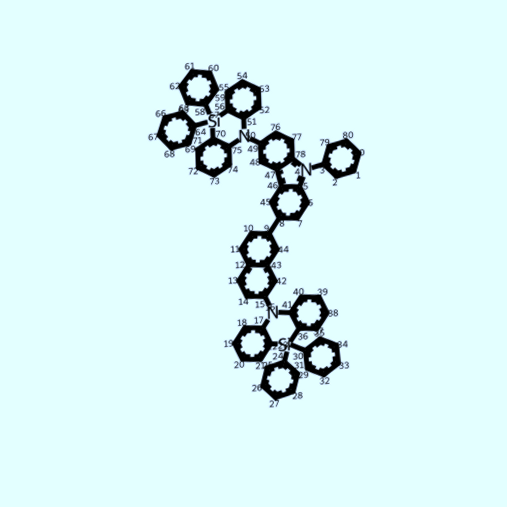 c1ccc(-n2c3ccc(-c4ccc5ccc(N6c7ccccc7[Si](c7ccccc7)(c7ccccc7)c7ccccc76)cc5c4)cc3c3cc(N4c5ccccc5[Si](c5ccccc5)(c5ccccc5)c5ccccc54)ccc32)cc1